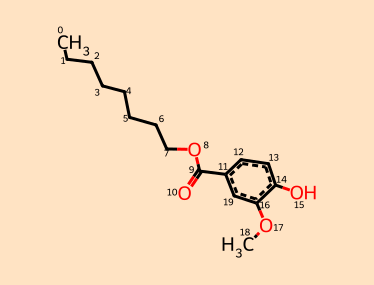 CCCCCCCCOC(=O)c1ccc(O)c(OC)c1